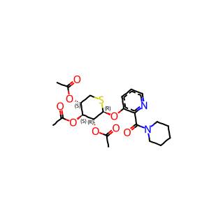 CC(=O)O[C@@H]1[C@@H](OC(C)=O)[C@H](OC(C)=O)CS[C@H]1Oc1cccnc1C(=O)N1CCCCC1